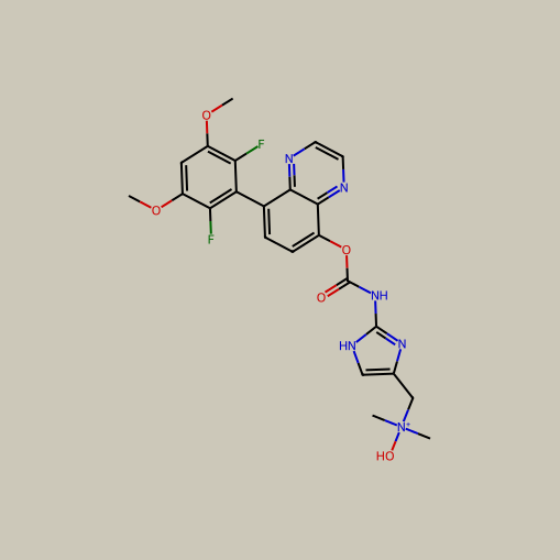 COc1cc(OC)c(F)c(-c2ccc(OC(=O)Nc3nc(C[N+](C)(C)O)c[nH]3)c3nccnc23)c1F